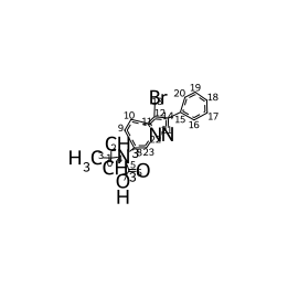 CC(C)(C)N(C(=O)O)c1ccc2c(Br)c(-c3ccccc3)nn2c1